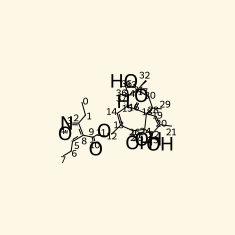 CCc1noc(CC)c1C(=O)OCC1=C[C@@H]2C(=O)C3(C=C(C)C(O)[C@@]3(O)C1O)C(C)C[C@@](C)(O)C2(C)C